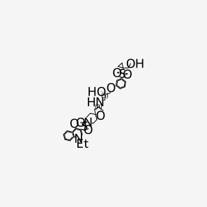 CCn1cc(S(=O)(=O)N2CCC3(CC2)C[C@@H](NC[C@H](O)COc2cccc(S(=O)(=O)C4(CO)CC4)c2)CO3)c(=O)c2ccccc21